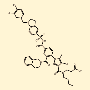 CCCCN(CCC(=O)O)C(=O)c1nn(-c2ccc(C(=O)NS(=O)(=O)c3ccc4c(c3)CCN4CC3C=CC(Cl)=C(Cl)C3)cc2C(=O)N2CCc3ccccc3C2)c(C)c1Cl